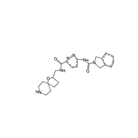 O=C(NCC1CCC2(CCNCC2)O1)c1ccc(NC(=O)N2Cc3ccccc3C2)nn1